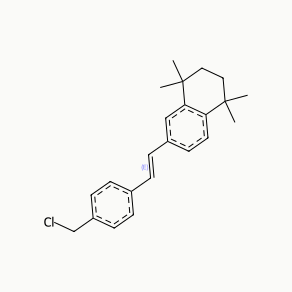 CC1(C)CCC(C)(C)c2cc(/C=C/c3ccc(CCl)cc3)ccc21